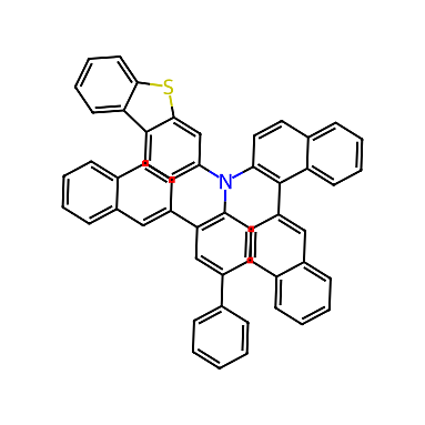 c1ccc(-c2ccc(N(c3ccc4c(c3)sc3ccccc34)c3ccc4ccccc4c3-c3ccc4ccccc4c3)c(-c3ccc4ccccc4c3)c2)cc1